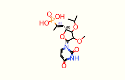 COC1C(OC(C)C)[C@@H](/C=C(\C)P(=O)(O)O)O[C@H]1n1ccc(=O)[nH]c1=O